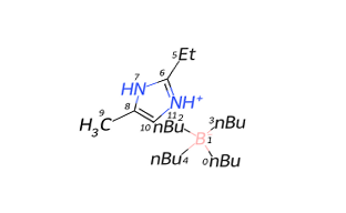 CCCC[B-](CCCC)(CCCC)CCCC.CCc1[nH]c(C)c[nH+]1